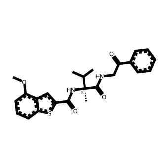 COc1cccc2sc(C(=O)N[C@](C)(C(=O)NCC(=O)c3ccccc3)C(C)C)cc12